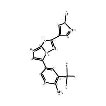 CCn1cc(-c2nn3c(-c4cnc(N)c(C(C)(F)F)c4)cnc3s2)cn1